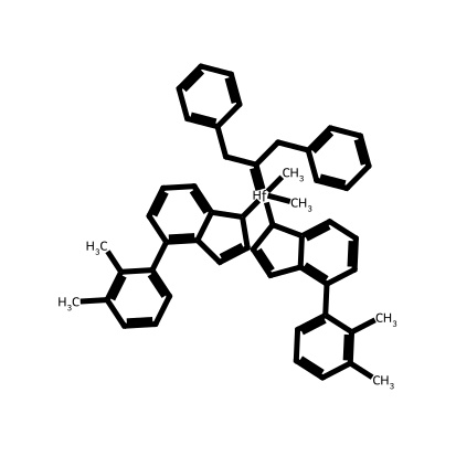 Cc1cccc(-c2cccc3c2C=C[CH]3[Hf]([CH3])([CH3])(=[C](Cc2ccccc2)Cc2ccccc2)[CH]2C=Cc3c(-c4cccc(C)c4C)cccc32)c1C